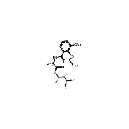 CCC(CC)C[C@H](C)OC(=O)[C@H](C)NC(=O)c1nccc(OC)c1OCOC(C)=O